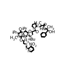 CC[C@@H](C)[C@@H](CCC(=O)N1CCC[C@@H]1C[C@H](C)C(=O)N[C@@H](C)[C@@H](O)c1ccccc1)N(C)C(=O)[C@H](NC(=O)[C@@H](C(C)C)N(C)C(=O)OCCSSc1ncccc1[N+](=O)[O-])C(C)C